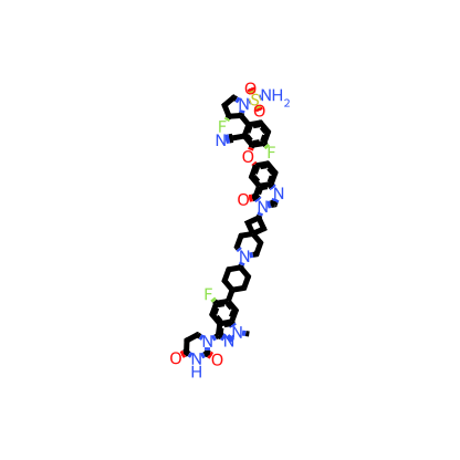 Cn1nc(N2CCC(=O)NC2=O)c2cc(F)c(C3CCC(N4CCC5(CC4)CC(n4cnc6ccc(Oc7c(F)ccc(C8C(F)CCN8S(N)(=O)=O)c7C#N)cc6c4=O)C5)CC3)cc21